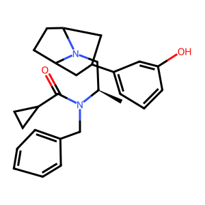 C[C@H](CN1C2CCC1CC(c1cccc(O)c1)C2)N(Cc1ccccc1)C(=O)C1CC1